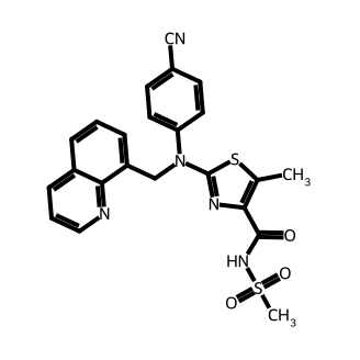 Cc1sc(N(Cc2cccc3cccnc23)c2ccc(C#N)cc2)nc1C(=O)NS(C)(=O)=O